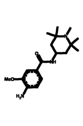 COc1cc(C(=O)NC2CC(C)(C)N(C)C(C)(C)C2)ccc1N